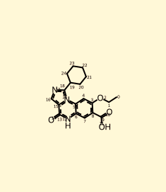 CCOc1cc2c(cc1C(=O)O)[nH]c(=O)c1cnc(C3CCCCC3)n12